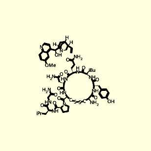 C=C[C@H]1C[N@]2CC[C@H]1C[C@@H]2[C@@H](O)c1ccnc2ccc(OC)cc12.CC[C@H](C)[C@@H]1NC(=O)[C@H](Cc2ccc(O)cc2)NC(=O)[C@@H](N)CSSC[C@@H](C(=O)N2CCC[C@H]2C(=O)N[C@@H](CC(C)C)C(=O)NCC(N)=O)NC(=O)[C@H](CC(N)=O)NC(=O)[C@H](CCC(N)=O)NC1=O